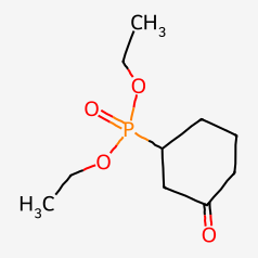 CCOP(=O)(OCC)C1CCCC(=O)C1